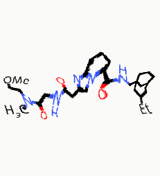 CCC1CC2CCCC(CNC(=O)c3cccc4nc(CC(=O)NCC(=O)N(C)CCOC)cn34)(C1)C2